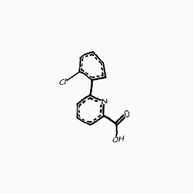 O=C(O)c1cccc(-c2ccccc2Cl)n1